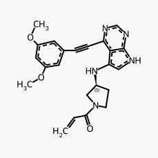 C=CC(=O)N1CC[C@H](Nc2c[nH]c3ncnc(C#Cc4cc(OC)cc(OC)c4)c23)C1